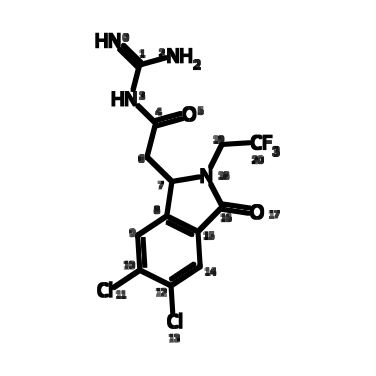 N=C(N)NC(=O)CC1c2cc(Cl)c(Cl)cc2C(=O)N1CC(F)(F)F